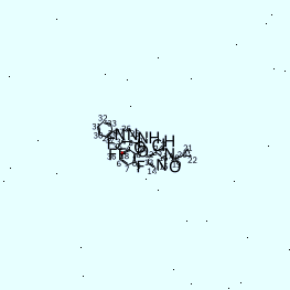 NC(=O)C1(c2cccc(F)c2Oc2ccnc(NC(=O)C3CC3)c2Cl)N=CN(c2ccccc2)C1C(F)(F)F